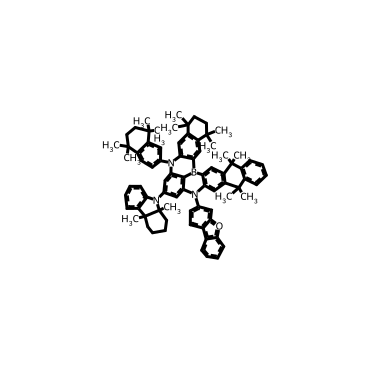 CC1(C)CCC(C)(C)c2cc(N3c4cc5c(cc4B4c6cc7c(cc6N(c6ccc8c(c6)oc6ccccc68)c6cc(N8c9ccccc9C9(C)CCCCC89C)cc3c64)C(C)(C)c3ccccc3C7(C)C)C(C)(C)CCC5(C)C)ccc21